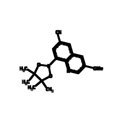 COc1cnc2c(B3OC(C)(C)C(C)(C)O3)cc(C#N)cc2c1